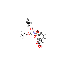 C[Si](C)(C)CCOCN(COCC[Si](C)(C)C)S(=O)(=O)c1cccc(CC(=O)O)c1